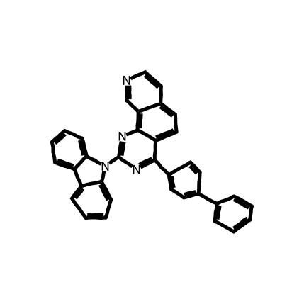 c1ccc(-c2ccc(-c3nc(-n4c5ccccc5c5ccccc54)nc4c3ccc3ccncc34)cc2)cc1